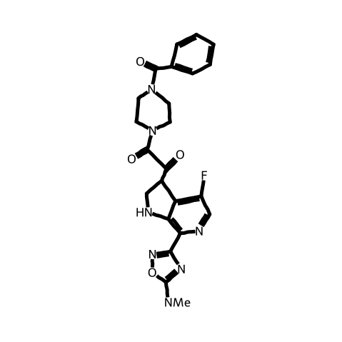 CNc1nc(-c2ncc(F)c3c2NCC3C(=O)C(=O)N2CCN(C(=O)c3ccccc3)CC2)no1